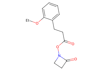 CCOc1ccccc1CCC(=O)ON1CCC1=O